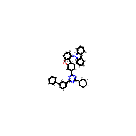 c1ccc(-c2cccc(-c3nc(C4CCCCC4)nc(C4CCC5c6c(cccc6-n6c7ccccc7c7ccccc76)OC5C4)n3)c2)cc1